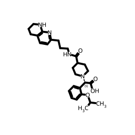 CC(C)Oc1ccccc1[C@@H](C(=O)O)N1CCC(C(=O)NCCCc2ccc3c(n2)NCCC3)CC1